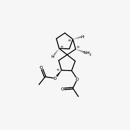 CC(=O)OC1CC2(C[C@@H]1OC(C)=O)[C@H]1CC[C@H](C1)[C@@H]2N